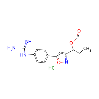 CCC(OC=O)c1cc(-c2ccc(NC(=N)N)cc2)on1.Cl